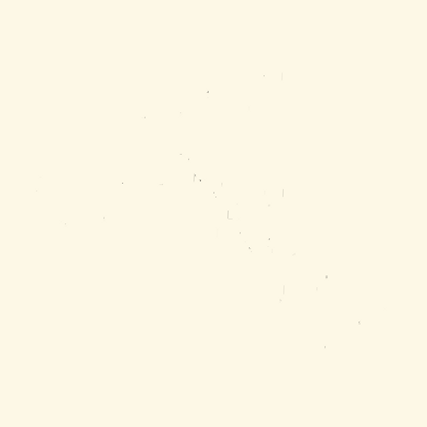 CC#N.CC(C)=O.CCC(C)=O.CCO.CCOC(C)=O.COC(C)=O.ClC(Cl)Cl.ClCCl.OCCC1CCCO1